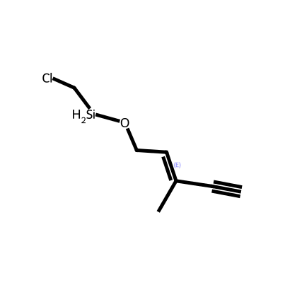 C#C/C(C)=C/CO[SiH2]CCl